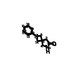 O=C1CC2(CN1)CN(c1cccnc1)C2